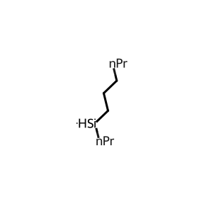 CCCCCC[SiH]CCC